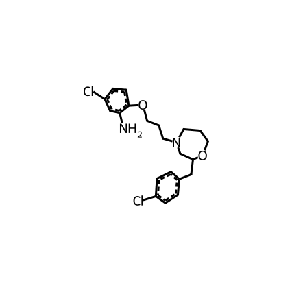 Nc1cc(Cl)ccc1OCCCN1CCCOC(Cc2ccc(Cl)cc2)C1